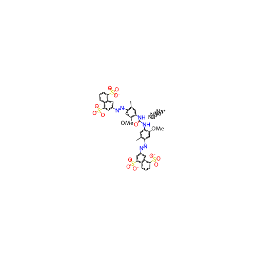 COc1cc(N=Nc2cc(S(=O)(=O)[O-])c3cccc(S(=O)(=O)[O-])c3c2)c(C)cc1NC(=O)Nc1cc(C)c(N=Nc2cc(S(=O)(=O)[O-])c3cccc(S(=O)(=O)[O-])c3c2)cc1OC.[Na+].[Na+].[Na+].[Na+]